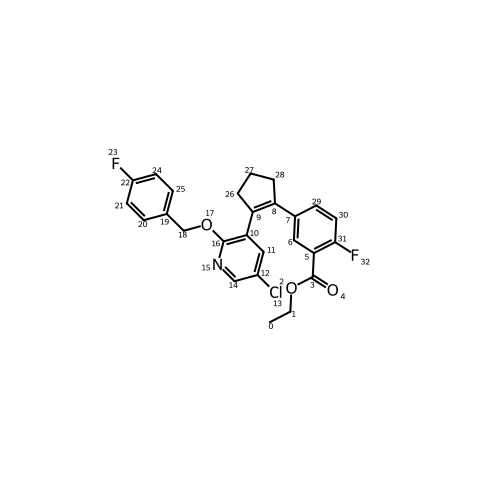 CCOC(=O)c1cc(C2=C(c3cc(Cl)cnc3OCc3ccc(F)cc3)CCC2)ccc1F